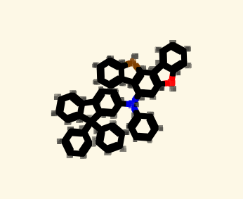 c1ccc(N(c2ccc3c(c2)C(c2ccccc2)(c2ccccc2)c2ccccc2-3)c2cc3oc4ccccc4c3c3sc4ccccc4c23)cc1